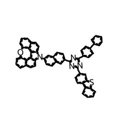 c1ccc(-c2ccc(-c3nc(-c4ccc5cc(-n6c7ccc8cccc9oc%10cccc%11ccc6c(c%11%10)c7c89)ccc5c4)nc(-c4ccc5c(c4)sc4ccccc45)n3)cc2)cc1